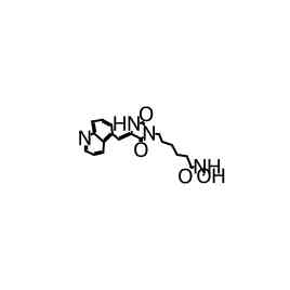 O=C(CCCCCN1C(=O)NC(=Cc2cccc3ncccc23)C1=O)NO